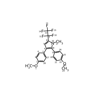 COc1ccc(-c2cc(C(F)(F)C(F)(F)F)n(C)c2-c2ccc(OC)cc2)cc1